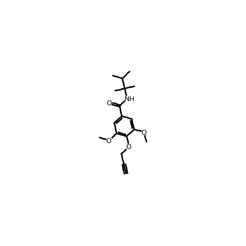 C#CCOc1c(OC)cc(C(=O)NC(C)(C)C(C)C)cc1OC